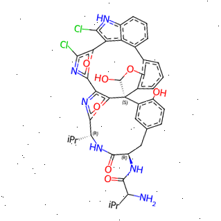 CC(C)C(N)C(=O)N[C@@H]1Cc2ccc(O)c(c2)[C@@]23c4cccc(c4OC2O)-c2cccc4[nH]c(Cl)c(c24)-c2oc(nc2Cl)-c2nc(oc23)[C@@H](C(C)C)NC1=O